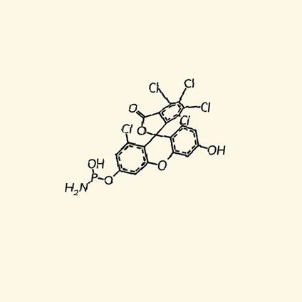 NP(O)Oc1cc(Cl)c2c(c1)Oc1cc(O)ccc1C21OC(=O)c2c(Cl)c(Cl)c(Cl)c(Cl)c21